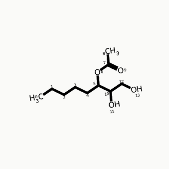 CCCCCC(OC(C)=O)C(O)CO